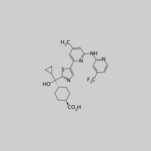 Cc1cc(Nc2cc(C(F)(F)F)ccn2)nc(-c2cnc(C(O)(C3CC3)[C@H]3CC[C@H](C(=O)O)CC3)s2)c1